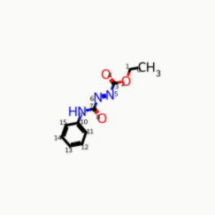 CCOC(=O)/N=N/C(=O)Nc1ccccc1